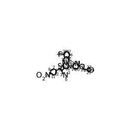 CN(C)Cc1c(-c2ccc([N+](=O)[O-])cc2)sc2c1CN(c1ccc(OCC3COC3)nc1)CN2Cc1c(F)cccc1F